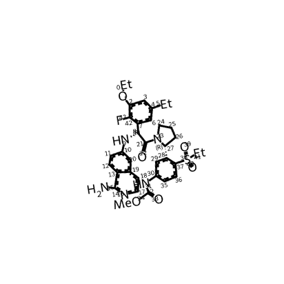 CCOc1cc(CC)cc([C@@H](Nc2ccc3c(N)nccc3c2)C(=O)N2CCC[C@@H]2c2cc(NC(=O)OC)ccc2S(=O)(=O)CC)c1F